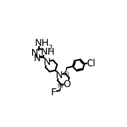 Nc1nnc(N2CCC(N3C[C@H](CF)OC[C@@H]3Cc3ccc(Cl)cc3)CC2)[nH]1